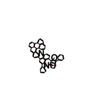 c1ccc(-c2cccc3cccc(-c4ccccc4N(c4ccc(-c5cccc6c5oc5ccccc56)cc4)c4ccccc4-c4ccc5c(c4)c4ccccc4n5-c4ccccc4)c23)cc1